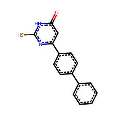 O=c1cc(-c2ccc(-c3ccccc3)cc2)nc(S)[nH]1